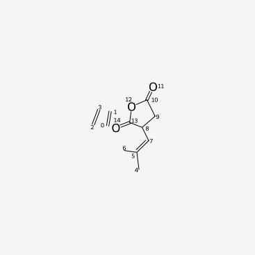 C=C.C=C.CC(C)=CC1CC(=O)OC1=O